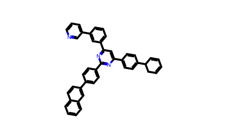 C1=CCC(c2ccc(-c3cc(-c4cccc(-c5cccnc5)c4)nc(-c4ccc(-c5ccc6ccccc6c5)cc4)n3)cc2)C=C1